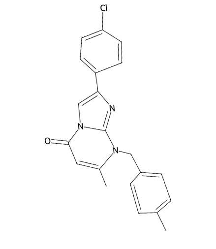 Cc1ccc(Cn2c(C)cc(=O)n3cc(-c4ccc(Cl)cc4)nc23)cc1